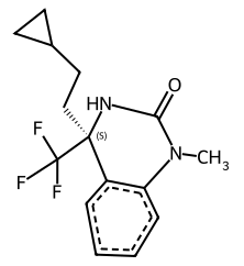 CN1C(=O)N[C@](CCC2CC2)(C(F)(F)F)c2ccccc21